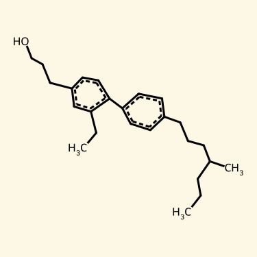 CCCC(C)CCCc1ccc(-c2ccc(CCCO)cc2CC)cc1